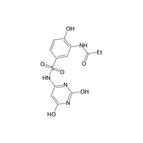 CCC(=O)Nc1cc(S(=O)(=O)Nc2cc(O)nc(O)n2)ccc1O